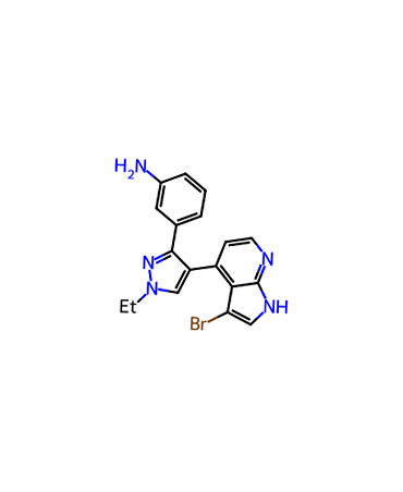 CCn1cc(-c2ccnc3[nH]cc(Br)c23)c(-c2cccc(N)c2)n1